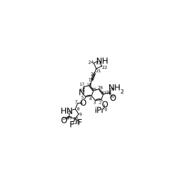 CC(C)Oc1cc2c(OCC3CC(F)(F)C(=O)N3)ncc(C#CC3CNC3)c2cc1C(N)=O